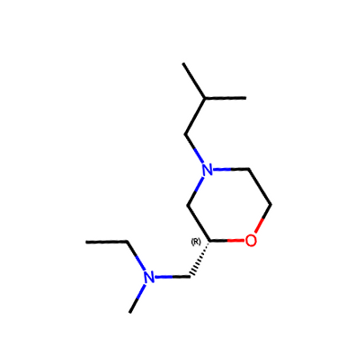 CCN(C)C[C@@H]1CN(CC(C)C)CCO1